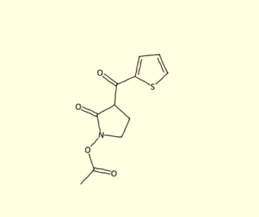 CC(=O)ON1CCC(C(=O)c2cccs2)C1=O